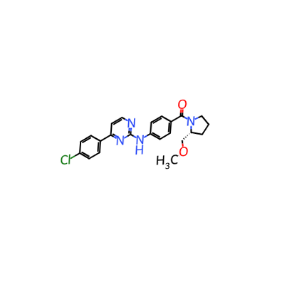 COC[C@H]1CCCN1C(=O)c1ccc(Nc2nccc(-c3ccc(Cl)cc3)n2)cc1